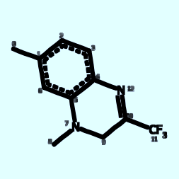 Cc1ccc2c(c1)N(C)CC(C(F)(F)F)=N2